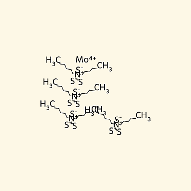 CCCCCC[N+]([S-])(CCCCCC)C(=S)[S-].CCCCCC[N+]([S-])(CCCCCC)C(=S)[S-].CCCCCC[N+]([S-])(CCCCCC)C(=S)[S-].CCCCCC[N+]([S-])(CCCCCC)C(=S)[S-].[Mo+4]